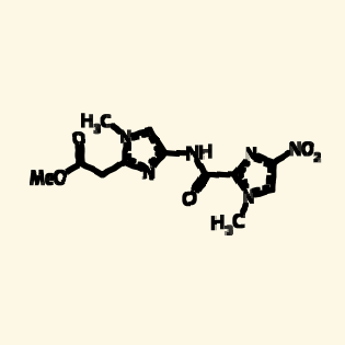 COC(=O)Cc1nc(NC(=O)c2nc([N+](=O)[O-])cn2C)cn1C